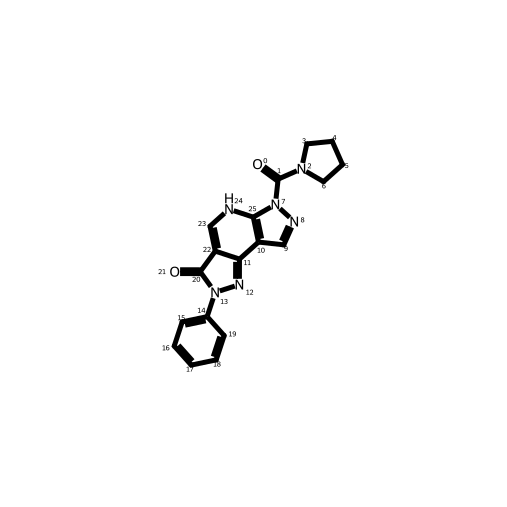 O=C(N1CCCC1)n1ncc2c3nn(-c4ccccc4)c(=O)c-3c[nH]c21